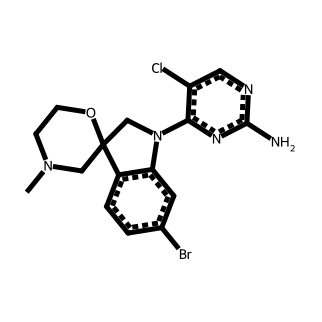 CN1CCOC2(C1)CN(c1nc(N)ncc1Cl)c1cc(Br)ccc12